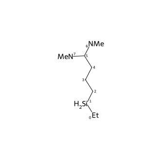 CC[SiH2]CCCC(NC)NC